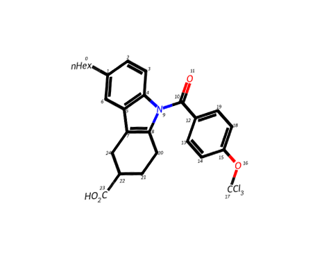 CCCCCCc1ccc2c(c1)c1c(n2C(=O)c2ccc(OC(Cl)(Cl)Cl)cc2)CCC(C(=O)O)C1